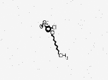 CCCCCCCCCCOc1ccc([N+](=O)[O-])cc1Cl